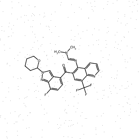 CN(C)/C=N/c1c(C(=O)c2ccc(F)c3nn(C4CCCCO4)cc23)cc(C(F)(F)F)c2ncccc12